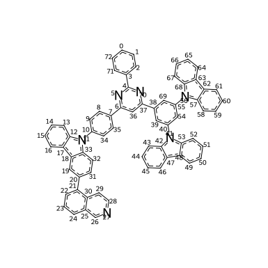 c1ccc(-c2nc(-c3ccc(-n4c5ccccc5c5cc(-c6cccc7cnccc67)ccc54)cc3)cc(-c3cc(-n4c5ccccc5c5ccccc54)cc(-n4c5ccccc5c5ccccc54)c3)n2)cc1